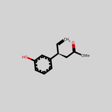 C=C[C@@H](CC(=O)OC)c1cccc(O)c1